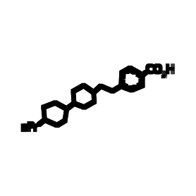 CCCC1CCC(C2CCC(CCc3ccc(C(=O)O)cc3)CC2)CC1